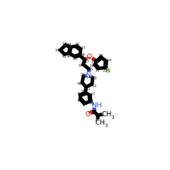 CC(C)C(=O)Nc1cccc(C2CCN(CCC(Oc3ccc(F)cc3)c3ccc4c(c3)CCC4)CC2)c1